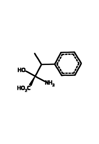 CC(c1ccccc1)[C@](N)(O)C(=O)O